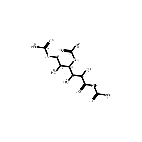 CCCC(=O)NC(=O)C(O)C(O)C(OC(=O)CCC)C(O)COC(=O)CCC